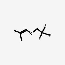 CC(C)=COCC(F)(F)F